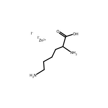 NCCCCC(N)C(=O)O.[I-].[I-].[Zn+2]